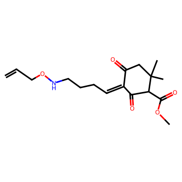 C=CCONCCCC=C1C(=O)CC(C)(C)C(C(=O)OC)C1=O